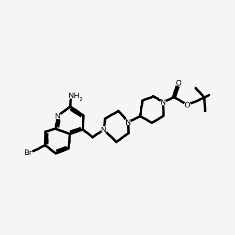 CC(C)(C)OC(=O)N1CCC(N2CCN(Cc3cc(N)nc4cc(Br)ccc34)CC2)CC1